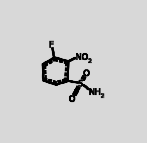 NS(=O)(=O)c1cccc(F)c1[N+](=O)[O-]